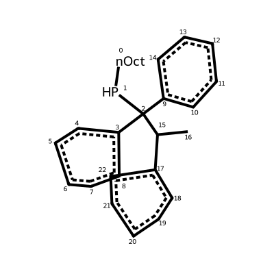 CCCCCCCCPC(c1ccccc1)(c1ccccc1)C(C)c1ccccc1